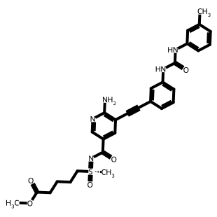 COC(=O)CCCC[S@](C)(=O)=NC(=O)c1cnc(N)c(C#Cc2cccc(NC(=O)Nc3cccc(C)c3)c2)c1